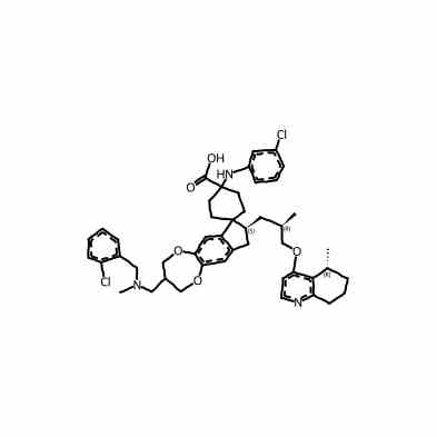 C[C@@H](COc1ccnc2c1[C@H](C)CCC2)C[C@H]1Cc2cc3c(cc2C12CCC(Nc1cccc(Cl)c1)(C(=O)O)CC2)OCC(CN(C)Cc1ccccc1Cl)CO3